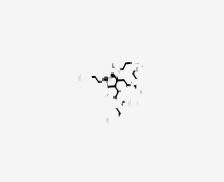 CCCN(CCC(C)C)C(=O)CC(C(=O)N(CCC)CCC(C)C)C(CC(=O)N(CCC)CCC(C)C)C(=O)N(CCC)CCC(C)C